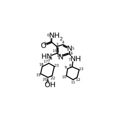 NC(=O)c1cnc(NC2CCCCC2)nc1N[C@H]1CC[C@H](O)CC1